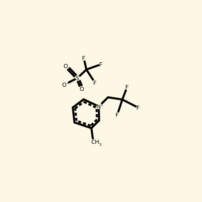 Cc1ccc[n+](CC(F)(F)F)c1.O=S(=O)([O-])C(F)(F)F